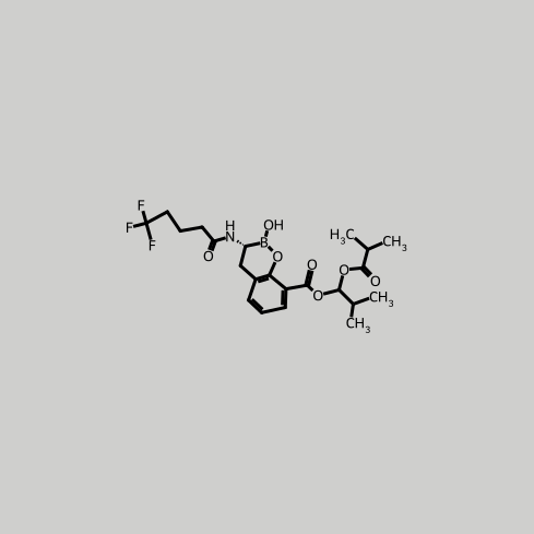 CC(C)C(=O)OC(OC(=O)c1cccc2c1OB(O)[C@@H](NC(=O)CCCC(F)(F)F)C2)C(C)C